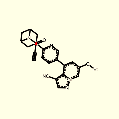 C#CC(=O)N1C2CC1CN(c1ccc(-c3cc(OCC)cn4ncc(C#N)c34)cn1)C2